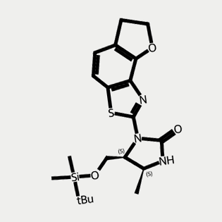 C[C@@H]1NC(=O)N(c2nc3c4c(ccc3s2)CCO4)[C@@H]1CO[Si](C)(C)C(C)(C)C